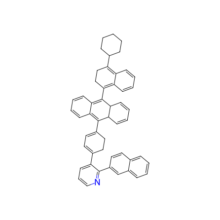 C1=CC2C(C3=CC=C(c4cccnc4-c4ccc5ccccc5c4)CC3)=c3ccccc3=C(C3=c4ccccc4=C(C4CCCCC4)CC3)C2C=C1